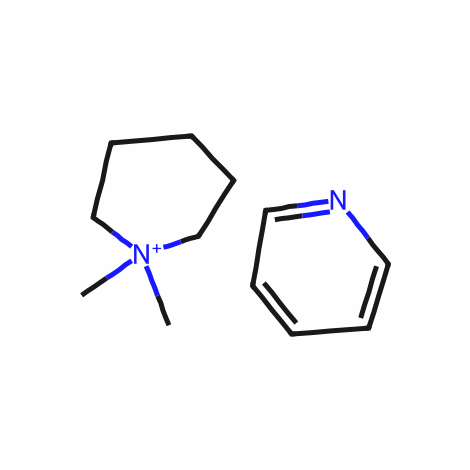 C[N+]1(C)CCCCC1.c1ccncc1